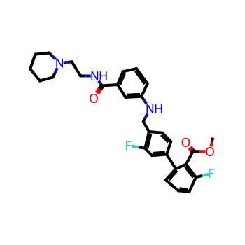 COC(=O)c1c(F)cccc1-c1ccc(CNc2cccc(C(=O)NCCN3CCCCC3)c2)c(F)c1